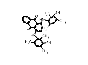 Cc1cc(C)c(Nc2ccc(Nc3c(C)cc(C)c(S)c3C)c3c2C(=O)c2ccccc2C3=O)c(C)c1S